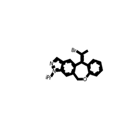 CC(Br)=C1c2cc3cnn(C(C)C)c3cc2COc2ccccc21